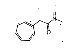 CNC(=O)CC1=CCC=CC=C1